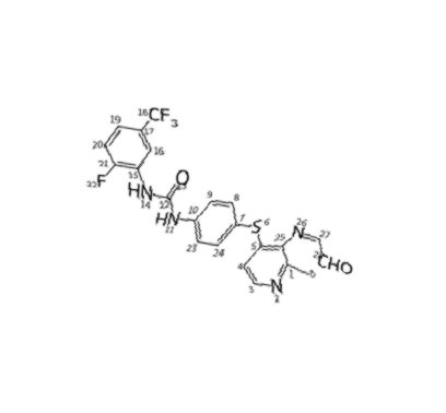 Cc1nccc(Sc2ccc(NC(=O)Nc3cc(C(F)(F)F)ccc3F)cc2)c1/N=C\C=O